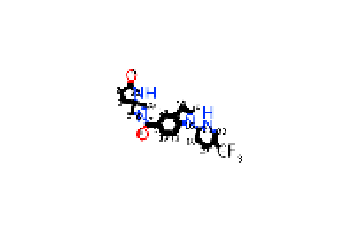 O=C1CCC2(CN(C(=O)c3ccc4c(ccn4C4C=CC(C(F)(F)F)=CN4)c3)C2)N1